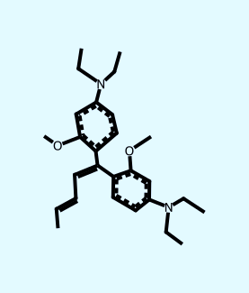 CC=CC=C(c1ccc(N(CC)CC)cc1OC)c1ccc(N(CC)CC)cc1OC